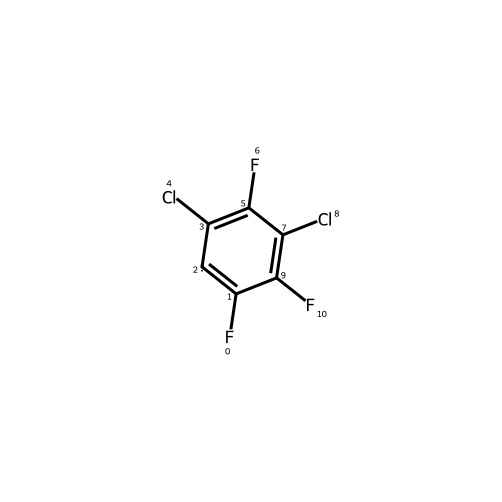 Fc1[c]c(Cl)c(F)c(Cl)c1F